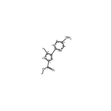 COC(=O)c1cc(-c2ncc(N)cn2)c(C)s1